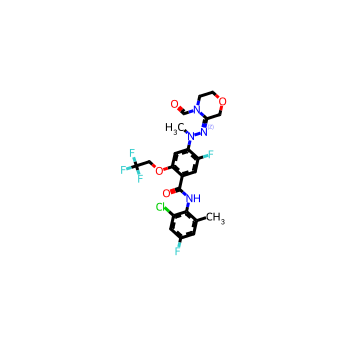 Cc1cc(F)cc(Cl)c1NC(=O)c1cc(F)c(N(C)/N=C2/COCCN2C=O)cc1OCC(F)(F)F